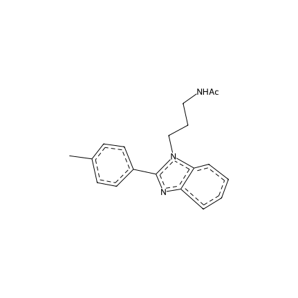 CC(=O)NCCCn1c(-c2ccc(C)cc2)nc2ccccc21